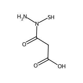 NN(S)C(=O)CC(=O)O